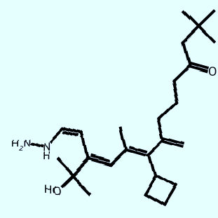 C=C(CCCC(=O)CC(C)(C)C)/C(=C(C)/C=C(\C=C/NN)C(C)(C)O)C1CCC1